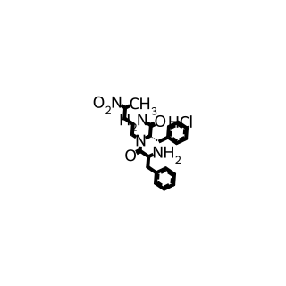 CC(CCCN(C(=O)C(N)Cc1ccccc1)[C@@H](Cc1ccccc1)C(N)=O)[N+](=O)[O-].Cl